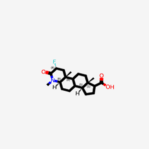 CN1C(=O)[C@H](F)C[C@]2(C)C3CC[C@]4(C)C(C(=O)O)CC[C@H]4C3CC[C@@H]12